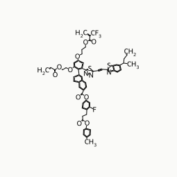 C=CCC(C)c1ccc2nc(C#Cc3nnc(-c4cc(OCCCOC(=O)C(=C)C(F)(F)F)cc(OCCOC(=O)C=C)c4-c4ccc5cc(C(=O)Oc6ccc(CCC(=O)Oc7ccc(C)cc7)c(F)c6)ccc5c4)s3)sc2c1